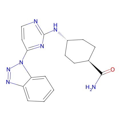 NC(=O)[C@H]1CC[C@H](Nc2nccc(-n3nnc4ccccc43)n2)CC1